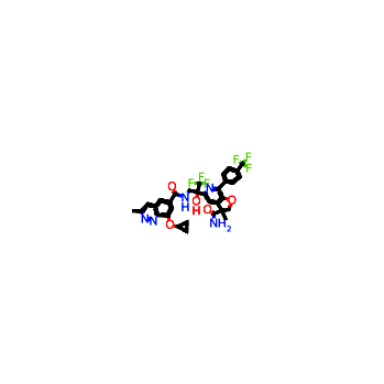 Cc1cc2cc(C(=O)NCC(O)(c3cc4c(c(-c5ccc(C(F)(F)F)cc5)n3)OCC4(C)C(N)=O)C(F)(F)F)cc(OC3CC3)c2nn1